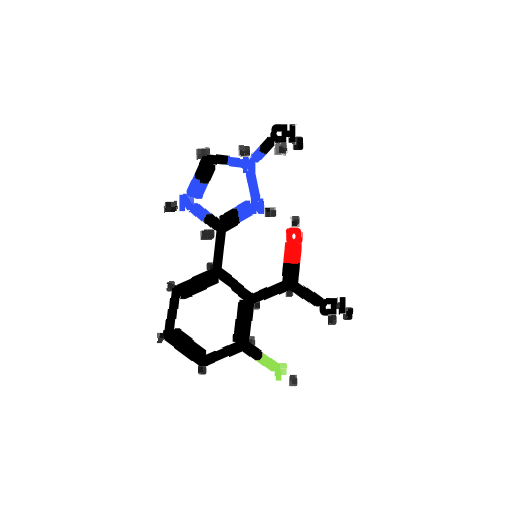 CC(=O)c1c(F)cccc1-c1ncn(C)n1